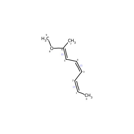 C\C=C/C=C\C=C(/C)OC